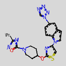 CC(C)c1noc(N2CCC(Oc3nc(-n4ccc5cc(-n6cnnn6)ccc54)cs3)CC2)n1